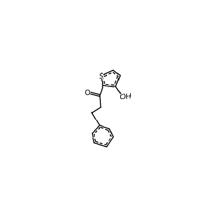 O=C(CCc1ccccc1)c1sccc1O